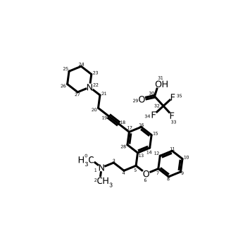 CN(C)CCC(Oc1ccccc1)c1cccc(C#CCCN2CCCCC2)c1.O=C(O)C(F)(F)F